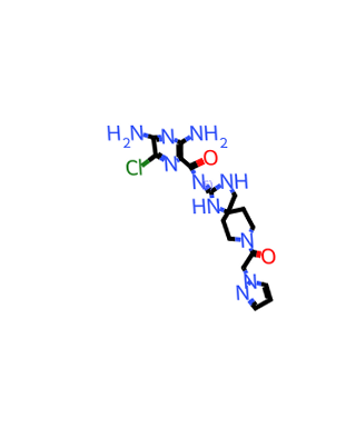 Nc1nc(N)c(C(=O)/N=C2\NCC3(CCN(C(=O)Cn4cccn4)CC3)N2)nc1Cl